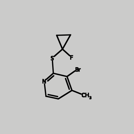 Cc1ccnc(SC2(F)CC2)c1Br